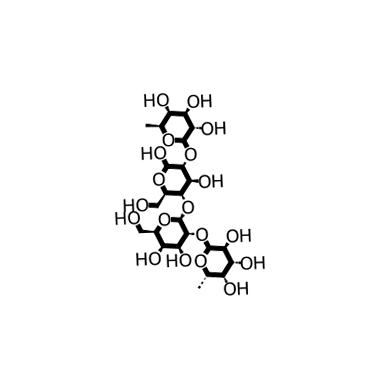 C[C@@H]1OC(O[C@H]2[C@H](O[C@H]3[C@H](O)[C@@H](OC4O[C@@H](C)[C@@H](O)[C@@H](O)[C@@H]4O)C(O)O[C@@H]3CO)O[C@H](CO)[C@H](O)[C@@H]2O)[C@@H](O)[C@H](O)[C@@H]1O